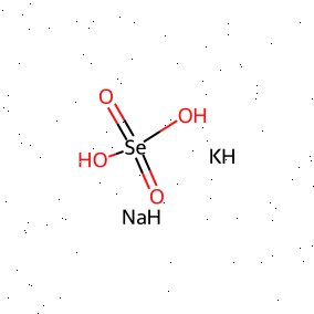 O=[Se](=O)(O)O.[KH].[NaH]